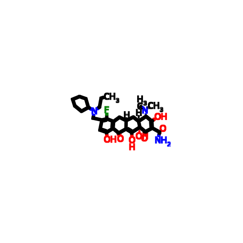 CCCN(Cc1cc(O)c2c(c1F)C[C@H]1C[C@H]3[C@H](N(C)C)C(O)=C(C(N)=O)C(=O)[C@@]3(O)C(O)=C1C2=O)C1CCCCC1